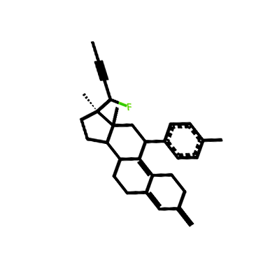 C=C1C=C2CCC3C(=C2CC1)C(c1ccc(C)cc1)CC1(C)C3CC[C@@]1(C)C(F)C#CC